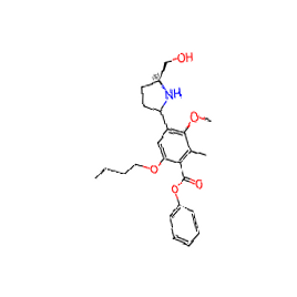 CCCCOc1cc(C2CC[C@@H](CO)N2)c(OC)c(C)c1C(=O)Oc1ccccc1